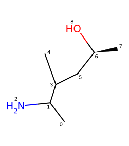 CC(N)C(C)C[C@H](C)O